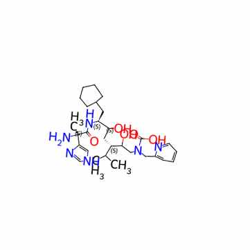 CC(C)[C@H](C[C@H](O)[C@H](CC1CCCCC1)NC(=O)[C@@](C)(N)c1c[nH]cn1)C(O)CN(Cc1ccccn1)C(=O)O